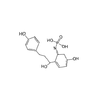 O=P(O)(O)N=C1CC(O)=CC=C1C(O)CCc1ccc(O)cc1